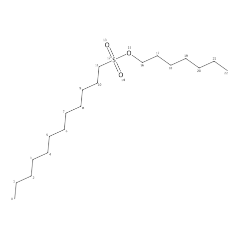 CCCCCCCCCCCCS(=O)(=O)OCCCCCCC